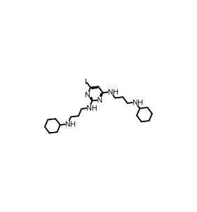 Ic1cc(NCCCNC2CCCCC2)nc(NCCCNC2CCCCC2)n1